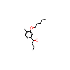 CCCCCOc1cc(C(=O)CCC)ccc1C